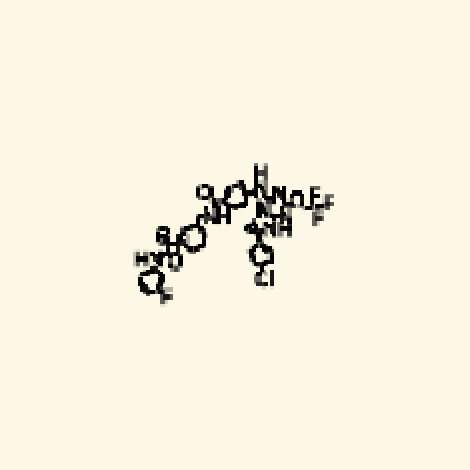 O=C(Nc1cccc(F)c1)C(=O)N1CCCC(CNC(=O)c2ccc(Nc3nc(NC4(c5ccc(Cl)cc5)CC4)nc(OCC(F)(F)F)n3)cc2)C1